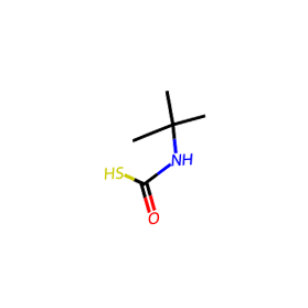 CC(C)(C)NC(=O)S